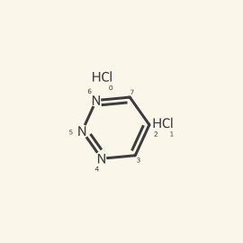 Cl.Cl.c1cnnnc1